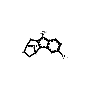 Cc1ccc2[nH]c3c(c2c1)C1CCC(C3)N1.Cl